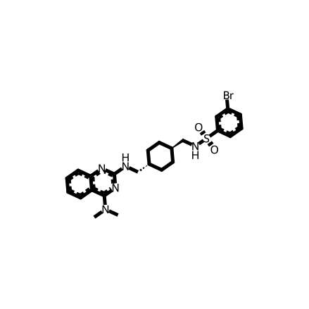 CN(C)c1nc(NC[C@H]2CC[C@H](CNS(=O)(=O)c3cccc(Br)c3)CC2)nc2ccccc12